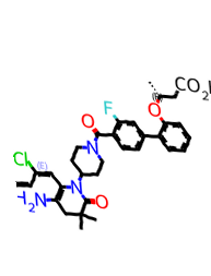 C=C/C(Cl)=C\C1=C(N)CC(C)(C)C(=O)N1C1CCN(C(=O)c2ccc(-c3ccccc3O[C@H](C)CC(=O)O)cc2F)CC1